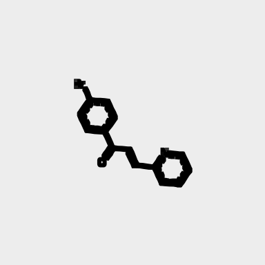 O=C(C=Cc1ccccn1)c1ccc(Br)cc1